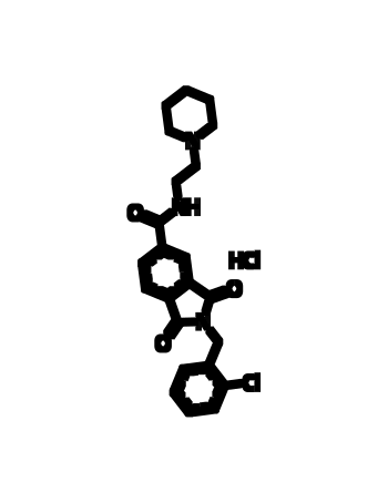 Cl.O=C(NCCN1CCCCC1)c1ccc2c(c1)C(=O)N(Cc1ccccc1Cl)C2=O